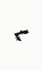 CCOC(=O)/C(C)=C(\C)c1cc(C)cc(OCc2coc(-c3ccc(C(F)(F)F)cc3)n2)c1